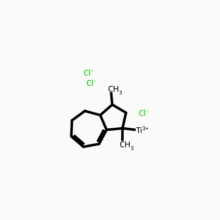 CC1C[C](C)([Ti+3])C2=CC=CCCC21.[Cl-].[Cl-].[Cl-]